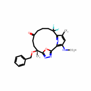 O=C1CCCC(F)(F)c2nc(c(NC(=O)O)cc2C(F)(F)F)-c2nnc(o2)[C@@](OCc2ccccc2)(C(F)(F)F)CC1